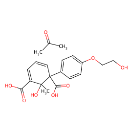 CC(C)=O.CC1(O)C(C(=O)O)=CC=CC1(C(=O)O)c1ccc(OCCO)cc1